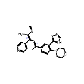 C=N/C(N)=C(\C=C(/C)c1ccc(N2CCOCC2)c(-c2nnc[nH]2)c1)c1ccncc1